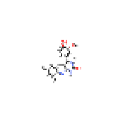 COc1cc(-c2cc(=Nc3c(C)cc(C)cc3C)n(C)c(=O)n2C)ccc1O